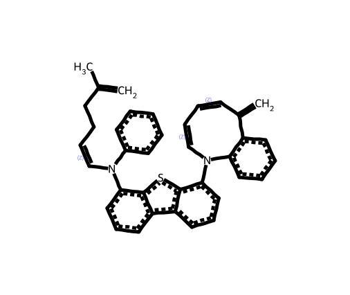 C=C(C)CC/C=C\N(c1ccccc1)c1cccc2c1sc1c(N3/C=C\C=C/C(=C)c4ccccc43)cccc12